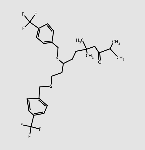 CC(C)C(=O)CC(C)(C)CCC(CCSCc1ccc(C(F)(F)F)cc1)SCc1ccc(C(F)(F)F)cc1